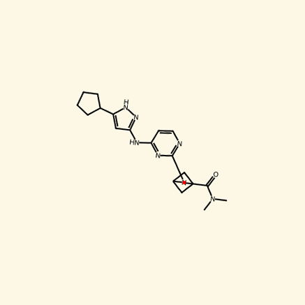 CN(C)C(=O)C12CC(C1)N(c1nccc(Nc3cc(C4CCCC4)[nH]n3)n1)C2